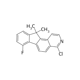 CC1(C)c2cccc(F)c2-c2ccc3c(Cl)nccc3c21